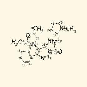 C[C@@H]1CN(c2c(-c3ccccc3)ncn3c(=O)n(C[C@@H]4CCCN4C)nc23)C[C@H](C)O1